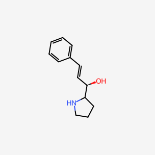 O[C@H](/C=C/c1ccccc1)C1CCCN1